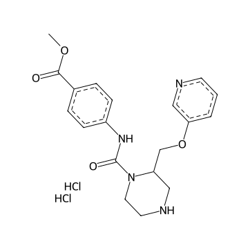 COC(=O)c1ccc(NC(=O)N2CCNCC2COc2cccnc2)cc1.Cl.Cl